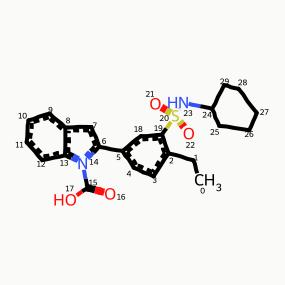 CCc1ccc(-c2cc3ccccc3n2C(=O)O)cc1S(=O)(=O)NC1CCCCC1